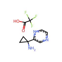 NC1(c2cnccn2)CC1.O=C(O)C(F)(F)F